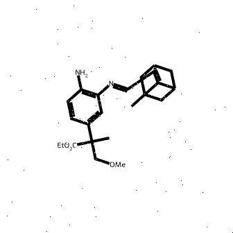 CCOC(=O)C(C)(COC)c1ccc(N)c(/N=C/C2=C3C4CC(C2)CC3(C)C4)c1